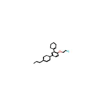 CCCC1CCC(c2ccc(OCCF)c(C3=CCCCC3)c2)CC1